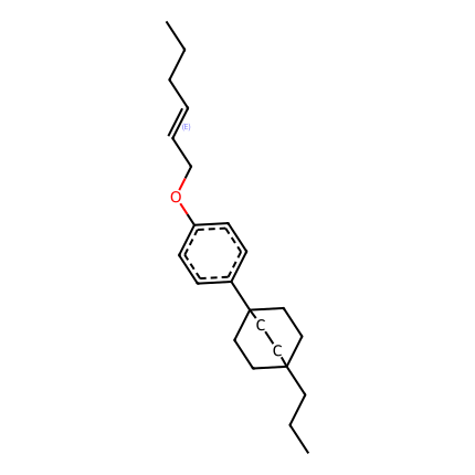 CCC/C=C/COc1ccc(C23CCC(CCC)(CC2)CC3)cc1